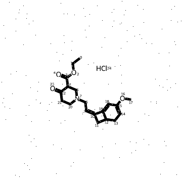 CCOC(=O)C1CN(CC=C2CC3CC=C(OC)C=C23)CCC1=O.Cl